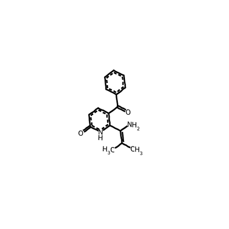 CC(C)=C(N)c1[nH]c(=O)ccc1C(=O)c1ccccc1